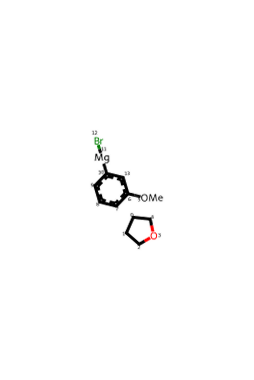 C1CCOC1.COc1ccc[c]([Mg][Br])c1